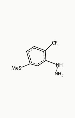 CSc1ccc(C(F)(F)F)c(NN)c1